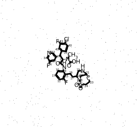 CN(C(=O)O)[C@H](C(=O)Nc1cccc(F)c1CCC1CNC2CCCS(=O)(=O)N1C2)[C@H](c1cncc(F)c1)c1ccc(Cl)c(F)c1